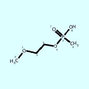 COCCOP(C)(=O)O